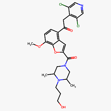 COc1ccc(C(=O)Cc2c(Cl)cncc2Cl)c2cc(C(=O)N3CC(C)N(CCCO)C(C)C3)oc12